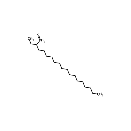 CCCCCCCCCCCCCCCCC(CC)[PH2]=S